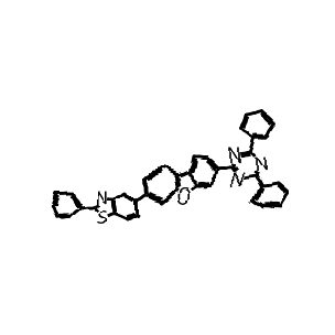 c1ccc(-c2nc(-c3ccccc3)nc(-c3ccc4c(c3)oc3cc(-c5ccc6sc(-c7ccccc7)nc6c5)ccc34)n2)cc1